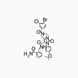 CC(C)Oc1ccc(-n2c(C(=O)NCc3ccccc3C(N)=O)c3n(c2=O)CCN(C(=O)c2ccc(Br)c(Cl)c2)C3)cc1